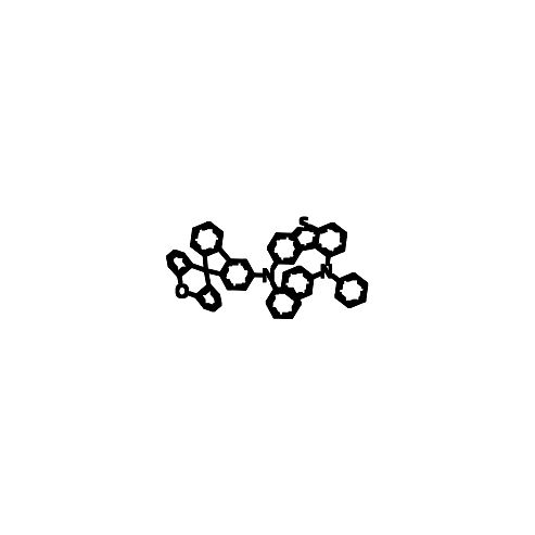 c1ccc(N(c2ccc3c(c2)-c2ccccc2C32c3ccccc3Oc3ccccc32)c2ccc3sc4cccc(N(c5ccccc5)c5ccccc5)c4c3c2)cc1